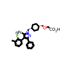 CCCc1c(-c2cccc(C)c2F)c(-c2ccccc2)nn1C[C@H]1CC[C@@H](COCC(=O)O)CC1